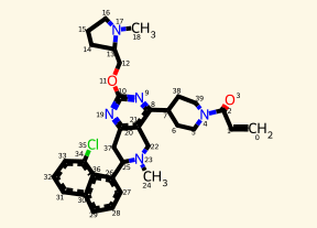 C=CC(=O)N1CCC(c2nc(OCC3CCCN3C)nc3c2CN(C)C(c2cccc4cccc(Cl)c24)C3)CC1